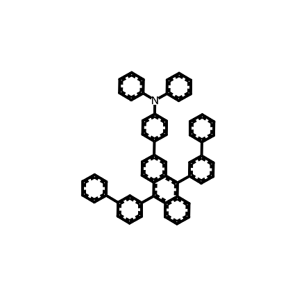 c1ccc(-c2cccc(-c3c4ccccc4c(-c4cccc(-c5ccccc5)c4)c4cc(-c5ccc(N(c6ccccc6)c6ccccc6)cc5)ccc34)c2)cc1